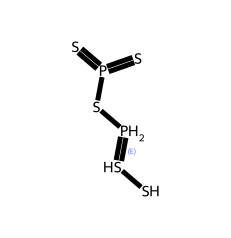 S=P(=S)S/[PH2]=[SH]/S